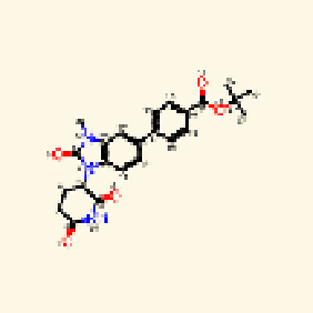 Cn1c(=O)n(C2CCC(=O)NC2=O)c2ccc(-c3ccc(C(=O)OC(C)(C)C)cc3)cc21